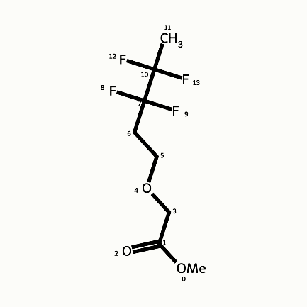 COC(=O)COCCC(F)(F)C(C)(F)F